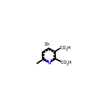 Cc1ccc(C(=O)O)c(C(=O)O)n1.[Zn]